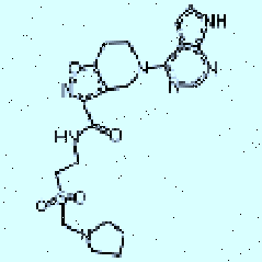 O=C(NCCS(=O)(=O)CN1CCCC1)c1noc2c1CN(c1ncnc3[nH]ccc13)CC2